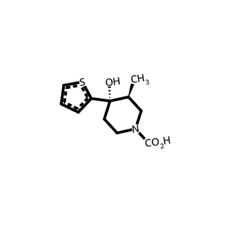 C[C@H]1CN(C(=O)O)CC[C@@]1(O)c1cccs1